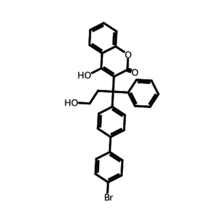 O=c1oc2ccccc2c(O)c1C(CCO)(c1ccccc1)c1ccc(-c2ccc(Br)cc2)cc1